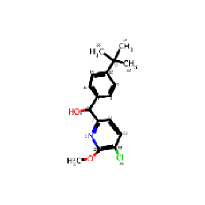 COc1nc(C(O)c2ccc(C(C)(C)C)cc2)ccc1Cl